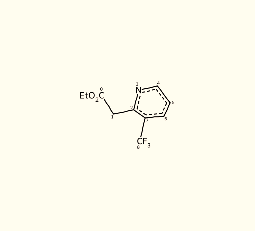 CCOC(=O)Cc1ncccc1C(F)(F)F